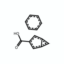 O=C(O)c1cc2[c]c-2c1.[c]1ccccc1